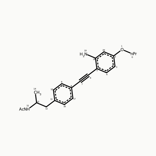 CCCOc1ccc(C#Cc2ccc(CC(C)NC(C)=O)cc2)c(N)c1